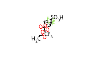 C=CC(=O)OC(OCCC(F)(F)C(F)(F)S(=O)(=O)O)(C(=O)OC(C)(C)C)C(F)(F)F